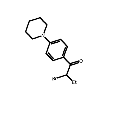 CCC(Br)C(=O)c1ccc(N2CCCCC2)cc1